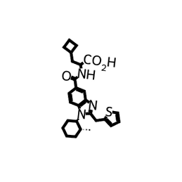 C[C@@H]1CCCC[C@H]1n1c(Cc2cccs2)nc2cc(C(=O)NC(CC3CCC3)C(=O)O)ccc21